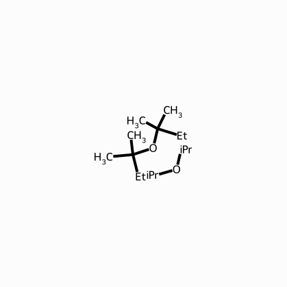 CC(C)OC(C)C.CCC(C)(C)OC(C)(C)CC